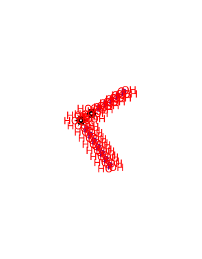 O=P(O)(O)O.O=P(O)(O)O.O=P(O)(O)O.O=P(O)(O)O.O=P(O)(O)O.O=P(O)(O)O.O=P(O)(O)O.O=P(O)(O)O.O=P(O)(O)O.O=P(O)(O)O.O=P(O)(O)O.O=P(O)(O)O.O[C@H]1[C@H](O)[C@@H](O)[C@H](O)[C@@H](O)[C@H]1O.O[C@H]1[C@H](O)[C@@H](O)[C@H](O)[C@@H](O)[C@H]1O